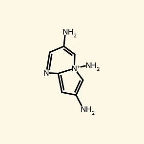 NC1=C[N+]2(N)C=C(N)C=C2N=C1